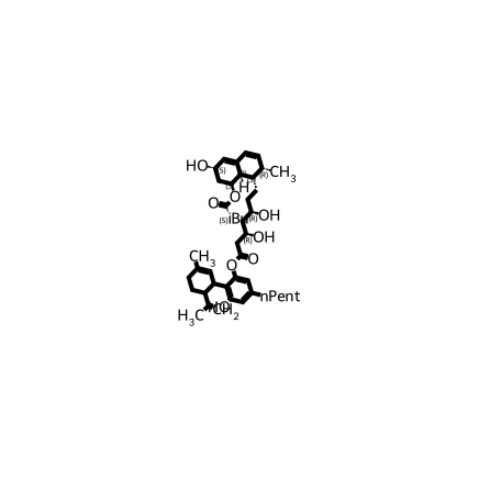 C=C(C)C1CCC(C)=CC1c1c(O)cc(CCCCC)cc1OC(=O)C[C@H](O)C[C@H](O)CC[C@@H]1[C@@H]2C(=C[C@@H](O)C[C@@H]2OC(=O)[C@@H](C)CC)C=C[C@@H]1C